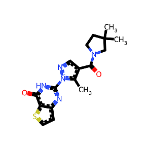 Cc1c(C(=O)N2CCC(C)(C)C2)cnn1-c1nc2ccsc2c(=O)[nH]1